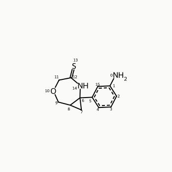 Nc1cccc(C23CC2COCC(=S)N3)c1